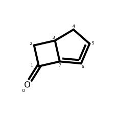 O=C1CC2CC=C=C12